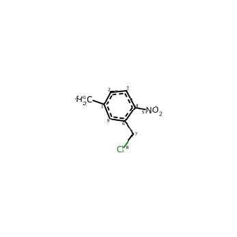 [CH2]c1ccc([N+](=O)[O-])c(CCl)c1